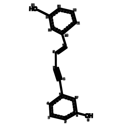 Oc1cccc(C#CC=Cc2cccc(O)c2)c1